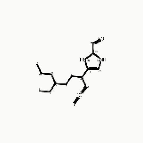 C=C=CC(CCC(CC)CCC)C1=CNC(C=O)N1